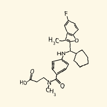 Cc1c(C(Nc2ccc(C(=O)N(C)CCC(=O)O)cc2)C2CCCCC2)oc2ccc(F)cc12